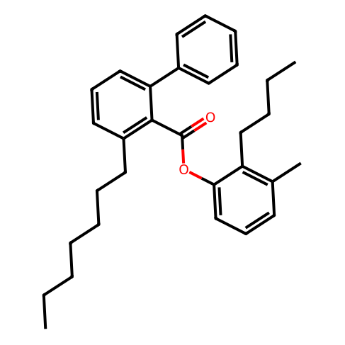 CCCCCCCc1cccc(-c2ccccc2)c1C(=O)Oc1cccc(C)c1CCCC